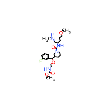 CNCC(CCCOC)NC(=O)N1CCCC(C(OCCNC(=O)OC)c2cccc(F)c2)C1